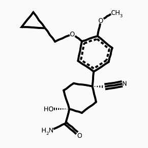 COc1ccc([C@]2(C#N)CC[C@](O)(C(N)=O)CC2)cc1OCC1CC1